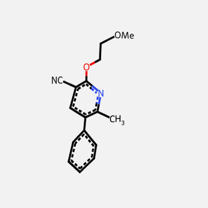 COCCOc1nc(C)c(-c2ccccc2)cc1C#N